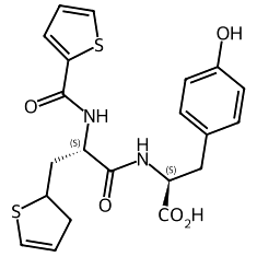 O=C(N[C@@H](CC1CC=CS1)C(=O)N[C@@H](Cc1ccc(O)cc1)C(=O)O)c1cccs1